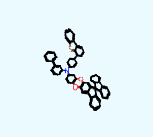 c1ccc(-c2cccc(N(c3ccc(-c4cccc5c4sc4ccccc45)cc3)c3ccc4c(c3)Oc3cc5c(cc3O4)-c3ccccc3C53c4ccccc4-c4ccccc43)c2)cc1